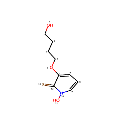 OCCCCOc1cccn(O)c1=S